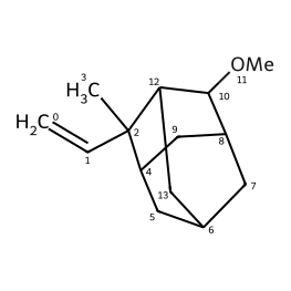 C=CC1(C)C2CC3CC(C2)C(OC)C1C3